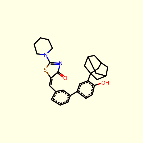 O=C1N=C(N2CCCCC2)SC1=Cc1cccc(-c2ccc(O)c(C34CC5CC(CC(C5)C3)C4)c2)c1